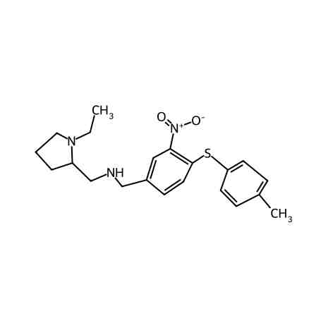 CCN1CCCC1CNCc1ccc(Sc2ccc(C)cc2)c([N+](=O)[O-])c1